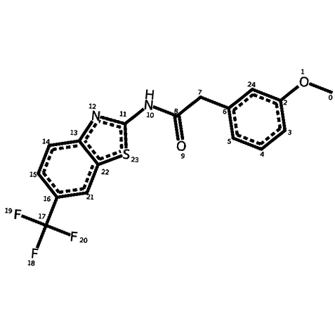 COc1cccc(CC(=O)Nc2nc3ccc(C(F)(F)F)cc3s2)c1